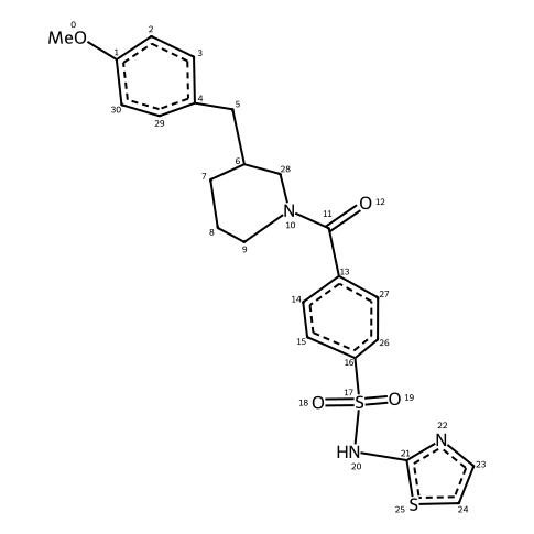 COc1ccc(CC2CCCN(C(=O)c3ccc(S(=O)(=O)Nc4nccs4)cc3)C2)cc1